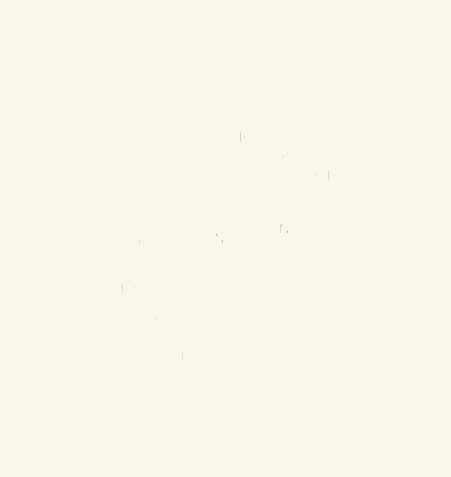 O=P(O)(O)c1cn2c(Cl)c(P(=O)(O)O)ccc2n1